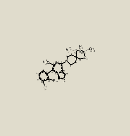 Cc1nc(N2CCC3(CC2)CO[C@@H](C)[SiH2][C@H]3C)c2cncn2c1-c1cccc(Cl)c1F